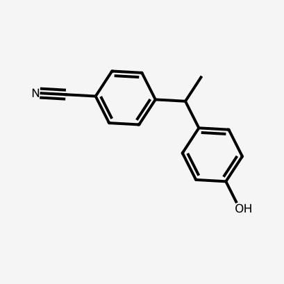 CC(c1ccc(O)cc1)c1ccc(C#N)cc1